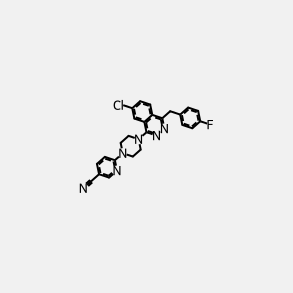 N#Cc1ccc(N2CCN(c3nnc(Cc4ccc(F)cc4)c4ccc(Cl)cc34)CC2)nc1